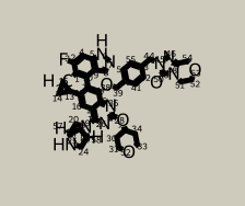 Cc1c(F)cc2[nH]ncc2c1-c1c(C2CC2)cc2c(N3C[C@@H]4C[C@H]3CN4)nc(OC3CCOCC3)nc2c1OCc1ccc(Cn2nc3n(c2=O)CCOC3)cc1